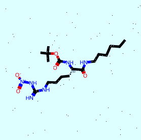 CCCCCCNC(=O)[C@H](CCCCNC(=N)N[N+](=O)[O-])NC(=O)OC(C)(C)C